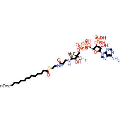 CCCCCCCCCCCCCCCCCCCCCCC(=O)SCCNC(=O)CCNC(=O)[C@H](O)C(C)(C)COP(=O)(O)OP(=O)(O)OC[C@H]1O[C@@H](n2cnc3c(N)ncnc32)[C@H](O)[C@@H]1OP(=O)(O)O